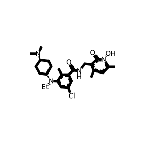 CCN(c1cc(Cl)cc(C(=O)NCc2c(C)cc(C)n(O)c2=O)c1C)[C@H]1CC[C@H](N(C)C)CC1